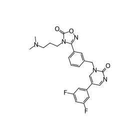 CN(C)CCCn1c(-c2cccc(Cn3cc(-c4cc(F)cc(F)c4)cnc3=O)c2)noc1=O